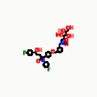 O=C1C(CCC(O)c2ccc(F)cc2)C(c2ccc(OCc3cccc(CNCC(O)C(O)C(O)C(O)CO)c3)cc2)N1c1ccc(F)cc1